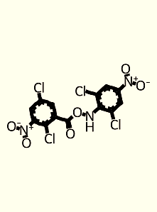 O=C(ONc1c(Cl)cc([N+](=O)[O-])cc1Cl)c1cc(Cl)cc([N+](=O)[O-])c1Cl